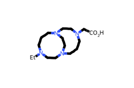 CCN1CCCN2CCN(CCCN(CC(=O)O)CC2)CC1